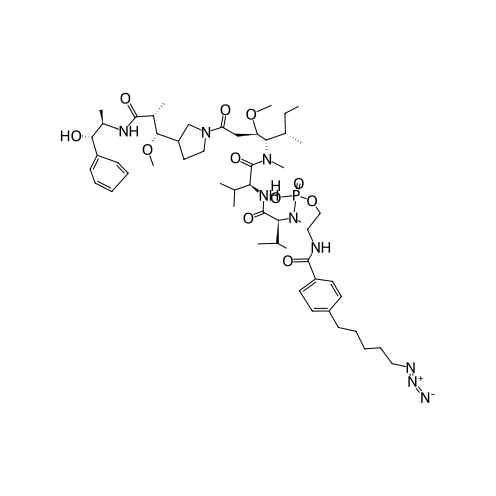 CC[C@H](C)[C@@H]([C@@H](CC(=O)N1CCC([C@H](OC)[C@@H](C)C(=O)N[C@H](C)[C@@H](O)c2ccccc2)C1)OC)N(C)C(=O)[C@@H](NC(=O)[C@H](C(C)C)N(C)P(=O)(O)OCCNC(=O)c1ccc(CCCCCN=[N+]=[N-])cc1)C(C)C